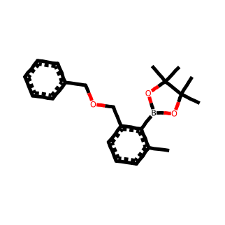 Cc1cccc(COCc2ccccc2)c1B1OC(C)(C)C(C)(C)O1